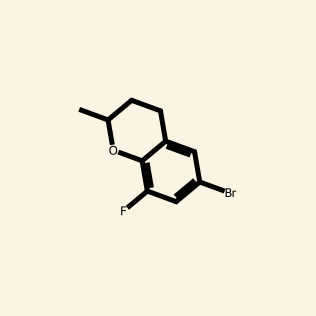 CC1CCc2cc(Br)cc(F)c2O1